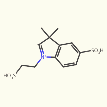 CC1(C)[C]=[N+](CCS(=O)(=O)O)c2ccc(S(=O)(=O)O)cc21